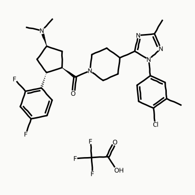 Cc1nc(C2CCN(C(=O)[C@@H]3C[C@H](N(C)C)C[C@H]3c3ccc(F)cc3F)CC2)n(-c2ccc(Cl)c(C)c2)n1.O=C(O)C(F)(F)F